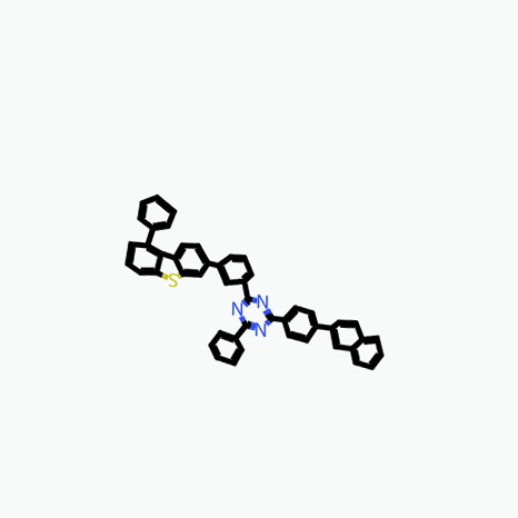 c1ccc(-c2nc(-c3ccc(-c4ccc5ccccc5c4)cc3)nc(-c3cccc(-c4ccc5c(c4)sc4cccc(-c6ccccc6)c45)c3)n2)cc1